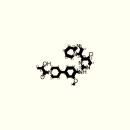 COc1cc(C2CCN(C(=O)C(C)O)CC2)ccc1Nc1ncc(Cl)c(-c2cnc3ccccn23)n1